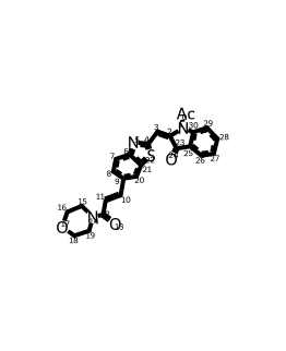 CC(=O)N1/C(=C/c2nc3ccc(/C=C/C(=O)N4CCOCC4)cc3s2)C(=O)c2ccccc21